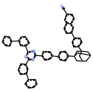 N#Cc1ccc2cc(-c3ccc(C45CC6CC(CC(c7ccc(-c8ccc(-c9nc(-c%10cccc(-c%11ccccc%11)c%10)nc(-c%10cccc(-c%11ccccc%11)c%10)n9)cc8)cc7)(C6)C4)C5)cc3)ccc2c1